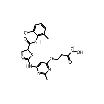 Cc1nc(NC2=NCC(C(=O)Nc3c(C)cccc3Cl)S2)cc(OCCC(=O)NO)n1